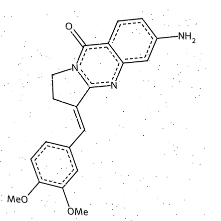 COc1ccc(C=C2CCn3c2nc2cc(N)ccc2c3=O)cc1OC